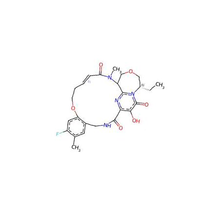 CC[C@H]1COCC2c3nc(c(O)c(=O)n31)C(=O)NCc1cc(C)c(F)cc1OCC/C=C/C(=O)N2C